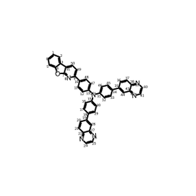 c1ccc2c(c1)oc1nc(-c3ccc(N(c4ccc(-c5ccc6nccnc6c5)cc4)c4ccc(-c5ccc6nccnc6c5)cc4)cc3)ccc12